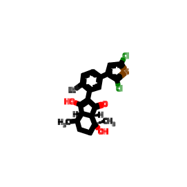 CCc1ccc(-c2cc(Cl)sc2Cl)cc1C1=C(O)[C@@H]2C(C)CC[C@](C)(O)[C@@H]2C1=O